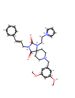 COc1cc(CN2CCC3(CC2)C(=O)N(C/C=C/c2ccccc2)C(=O)N3CCn2cccc2)cc(OC)c1